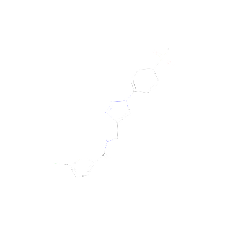 CS(=O)(=O)c1ccc(-n2cc(CNC(=O)c3ccc(Cl)s3)nn2)cc1